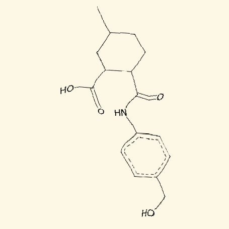 CC1CCC(C(=O)Nc2ccc(CO)cc2)C(C(=O)O)C1